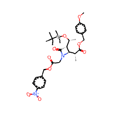 COc1ccc(COC(=O)[C@H](C)[C@@H]2[C@@H]([C@@H](C)O[Si](C)(C)C(C)(C)C)C(=O)N2CC(=O)OCc2ccc([N+](=O)[O-])cc2)cc1